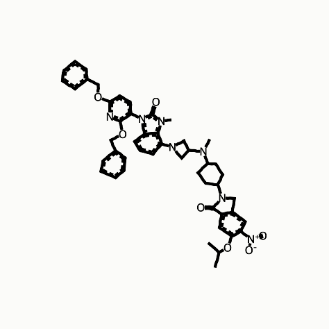 CC(C)Oc1cc2c(cc1[N+](=O)[O-])CN(C1CCC(N(C)C3CN(c4cccc5c4n(C)c(=O)n5-c4ccc(OCc5ccccc5)nc4OCc4ccccc4)C3)CC1)C2=O